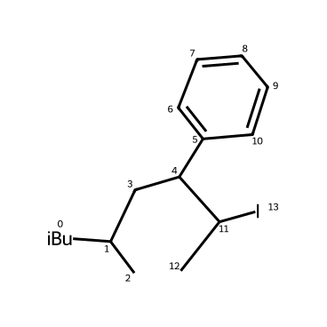 CCC(C)C(C)CC(c1ccccc1)C(C)I